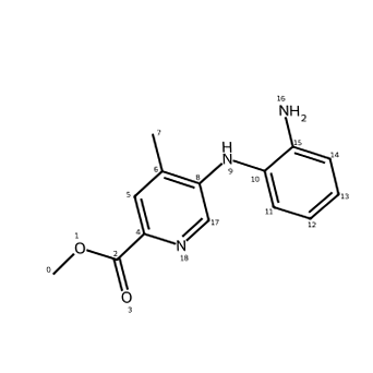 COC(=O)c1cc(C)c(Nc2ccccc2N)cn1